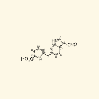 O=Cc1c[nH]c2cc(Cc3cccc(C(=O)O)c3)ccc12